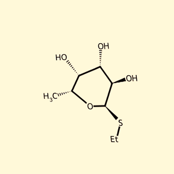 CCS[C@H]1O[C@H](C)[C@H](O)[C@H](O)[C@H]1O